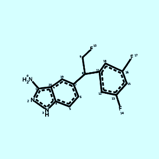 Nc1n[nH]c2ccc(C(CF)c3cc(F)cc(F)c3)cc12